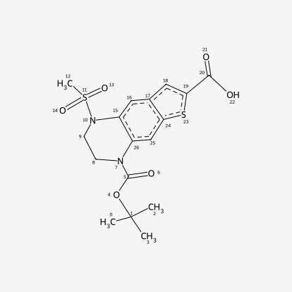 CC(C)(C)OC(=O)N1CCN(S(C)(=O)=O)c2cc3cc(C(=O)O)sc3cc21